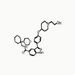 O=C(NCC1(N2CCOCC2)CCCCC1)c1ccc2[nH]nc(-c3ccc(OC4CCN(CCO)CC4)cc3)c2c1